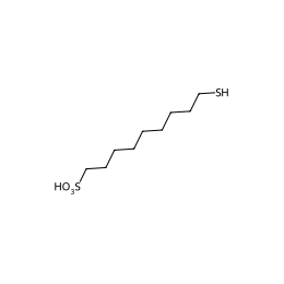 O=S(=O)(O)CCCCCCCCCS